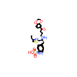 CCc1csc([C@H](Cc2ccc(NS(=O)(=O)O)cc2)NCCCC(=O)c2ccc3c(c2)OCCO3)n1